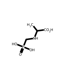 C[C](NCP(=O)(O)O)C(=O)O